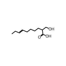 CCC=CCCCCC(CO)C(=O)O